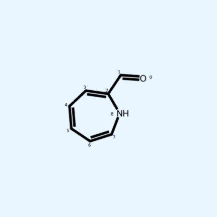 O=CC1=CC=CC=CN1